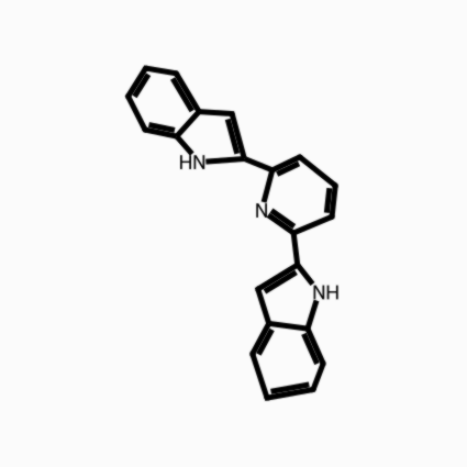 c1cc(-c2cc3ccccc3[nH]2)nc(-c2cc3ccccc3[nH]2)c1